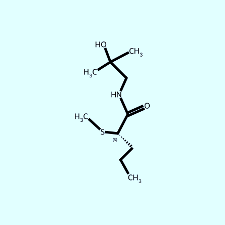 CCC[C@H](SC)C(=O)NCC(C)(C)O